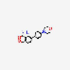 NC(=O)c1cc(-c2ccc(N3CCOCC3)cc2)ccc1C=O